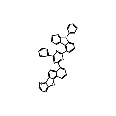 c1ccc(-c2nc(-c3cccc4c3ccc3c5ncccc5oc43)nc(-c3cccc4c3c3ccccc3n4-c3ccccc3)n2)cc1